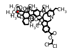 CCC1=C[C@H]2CN(C1)CC1=C(Cc3ccc(C(=O)OCC(Cl)Cl)cc31)[C@@](C(=O)OC)(C1C=C3C(=CC1OC)N(C)[C@H]1[C@@](O)(C(=O)OC)[C@H](OC(C)=O)[C@]4(CC)C=CCN5CC[C@]31[C@@H]54)C2